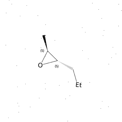 [CH2][C@@H]1O[C@H]1CCC